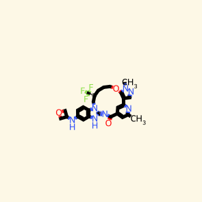 Cc1cc2cc(n1)-c1cnn(C)c1OCCC[C@@H](C(F)(F)F)CN1/C(=N/C2=O)Nc2cc(NC3COC3)ccc21